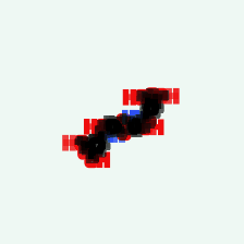 O=C(Nc1cc(S(=O)(=O)c2ccc(O)c(NC(=O)c3ccc4c(O)oc(O)c4c3)c2)ccc1O)c1ccc2c(O)oc(O)c2c1